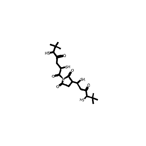 CC(C)(C)C(S)C(=O)CC(S)C(=O)N1C(=O)CC(C(S)CC(=O)C(S)C(C)(C)C)C1=O